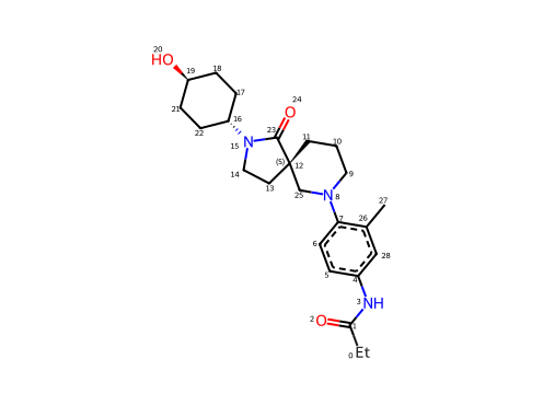 CCC(=O)Nc1ccc(N2CCC[C@]3(CCN([C@H]4CC[C@H](O)CC4)C3=O)C2)c(C)c1